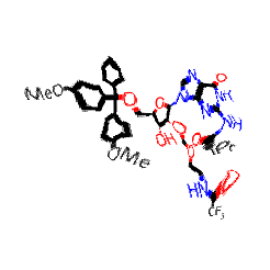 COc1ccc(C(OC[C@H]2O[C@@H](n3cnc4c(=O)[nH]c(NC(=O)C(C)C)nc43)[C@H](OCOCCNC(=O)C(F)(F)F)[C@@H]2O)(c2ccccc2)c2ccc(OC)cc2)cc1